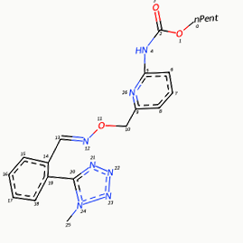 CCCCCOC(=O)Nc1cccc(CON=Cc2ccccc2-c2nnnn2C)n1